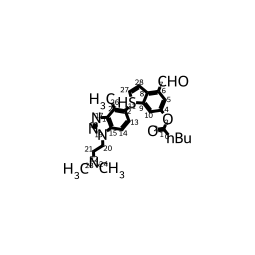 CCCCC(=O)Oc1cc(C=O)c2c(c1)[SH](c1ccc3c(nnn3CCN(C)C)c1C)C=C2